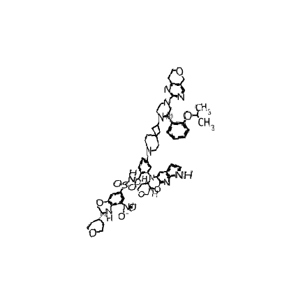 CC(C)Oc1ccccc1[C@@H]1CN(c2ncc3c(n2)CCOC3)CCN1C1CC2(CCN(c3ccc(C(=O)NS(=O)(=O)c4cc5c(c([N+](=O)[O-])c4)N[C@H](C4CCOCC4)CO5)c(N4c5cc6cc[nH]c6nc5O[C@H]5COCC[C@@H]54)c3)CC2)C1